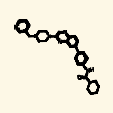 O=C(Nc1ccc(-c2ccc3ncc(N4CCN(Cc5cccnc5)CC4)nc3c2)cc1)C1CCCCC1